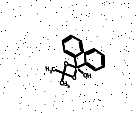 CC1(C)OP(O)(c2ccccc2)(c2ccccc2)O1